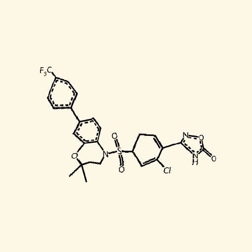 CC1(C)CN(S(=O)(=O)C2C=C(Cl)C(c3noc(=O)[nH]3)=CC2)c2ccc(-c3ccc(C(F)(F)F)cc3)cc2O1